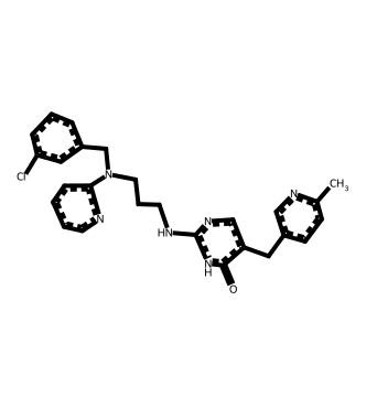 Cc1ccc(Cc2cnc(NCCCN(Cc3cccc(Cl)c3)c3ccccn3)[nH]c2=O)cn1